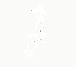 COc1cc2nc(C(C)(C)C)sc2cc1NC(=O)SN1CC[N+](C)([O-])CC1